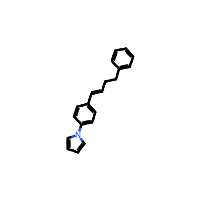 C(=Cc1ccc(-n2cccc2)cc1)CCc1ccccc1